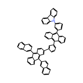 c1cc(-c2ccc3c(-c4ccc5ccccc5c4)c4ccccc4c(-c4ccc5ccccc5c4)c3c2)cc(-c2c3ccccc3c(-c3cccc(-n4c5ccccc5c5ccccc54)c3)c3ccccc23)c1